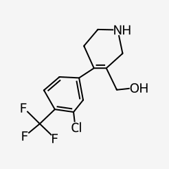 OCC1=C(c2ccc(C(F)(F)F)c(Cl)c2)CCNC1